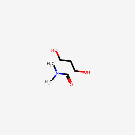 CN(C)C=O.OCCCO